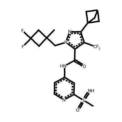 CC1(Cn2nc(C34CC(C3)C4)c(C(F)(F)F)c2C(=O)Nc2ccnc(S(C)(=N)=O)c2)CC(F)(F)C1